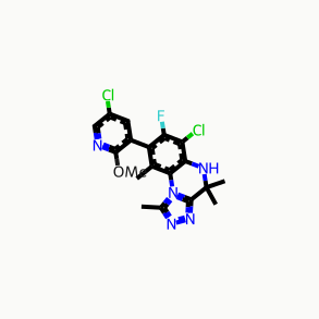 COc1ncc(Cl)cc1-c1c(C)c2c(c(Cl)c1F)NC(C)(C)c1nnc(C)n1-2